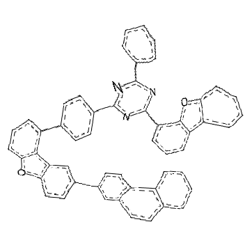 c1ccc(-c2nc(-c3ccc(-c4cccc5oc6ccc(-c7ccc8c(ccc9ccccc98)c7)cc6c45)cc3)nc(-c3cccc4c3oc3ccccc34)n2)cc1